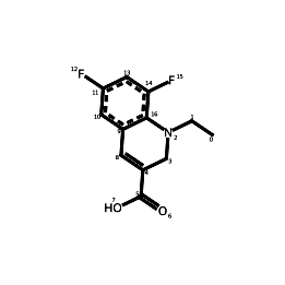 CCN1CC(C(=O)O)=Cc2cc(F)cc(F)c21